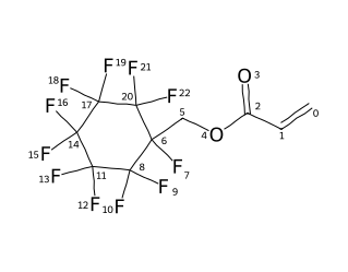 C=CC(=O)OCC1(F)C(F)(F)C(F)(F)C(F)(F)C(F)(F)C1(F)F